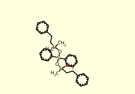 C[Si](C)(CCc1ccccc1)O[Si](O[Si](C)(C)CCc1ccccc1)(c1ccccc1)c1ccccc1